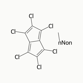 CCCCCCCCCC.ClC1=C(Cl)C2=C(Cl)C(Cl)=C(Cl)C2=C1Cl